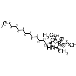 CCCCCCCCCCCCCC(=O)NC(C)P(=O)(OCC)OCC